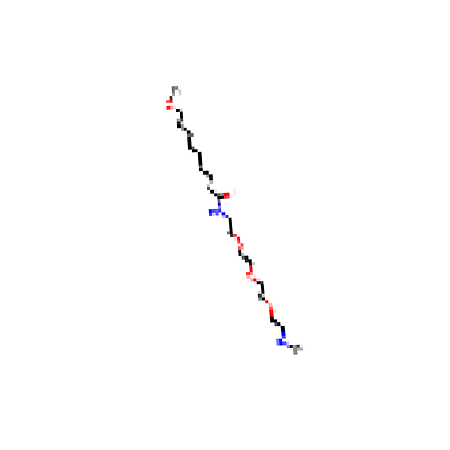 CC(C)NCCOCCOCCOCCNC(=O)CCCCCCCCOC(C)C